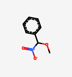 COC(c1ccccc1)[N+](=O)[O-]